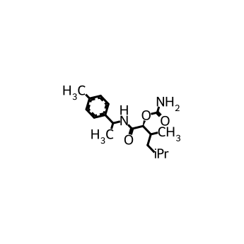 Cc1ccc(C(C)NC(=O)[C@@H](OC(N)=O)C(C)CC(C)C)cc1